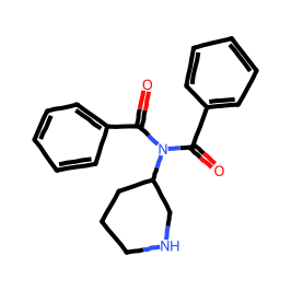 O=C(c1ccccc1)N(C(=O)c1ccccc1)C1CCCNC1